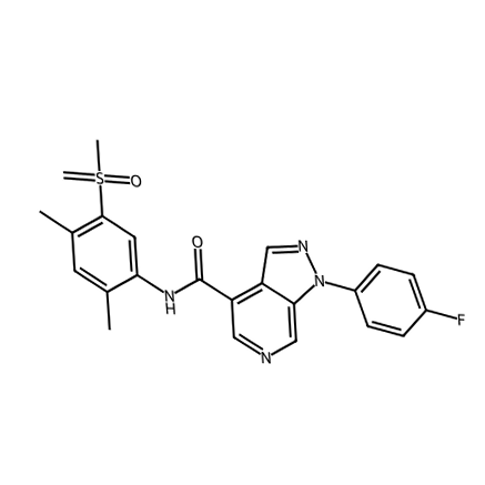 C=S(C)(=O)c1cc(NC(=O)c2cncc3c2cnn3-c2ccc(F)cc2)c(C)cc1C